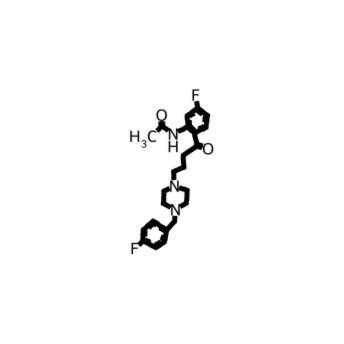 CC(=O)Nc1cc(F)ccc1C(=O)CCCN1CCN(Cc2ccc(F)cc2)CC1